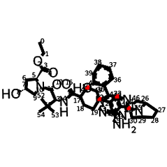 CCOC(=O)[C@@H]1C[C@@H](O)CN1C(=O)[C@@H](NC(=O)C1CCC(c2cnc(N3C4CCC3CN(c3cc(-c5ccccc5O)nnc3N)C4)nc2)CC1)C(C)(C)C